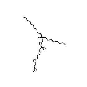 CCCCCCCCCCC(C)(CCCCCCCC)COC(=O)COCCOCCOC